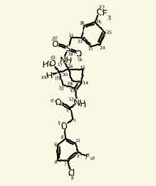 O=C(COc1ccc(Cl)c(F)c1)NC1=C2CC(NS(=O)(=O)Cc3cccc(C(F)(F)F)c3)(C2)[C@@H](O)C1